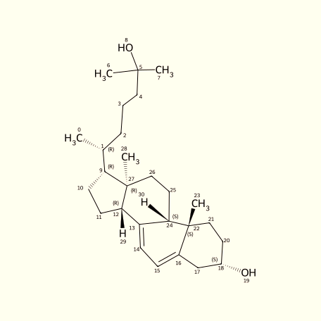 C[C@H](CCCC(C)(C)O)[C@H]1CC[C@H]2C3=CC=C4C[C@@H](O)CC[C@@]4(C)[C@H]3CC[C@]12C